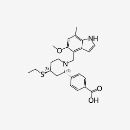 CCS[C@H]1CCN(Cc2c(OC)cc(C)c3[nH]ccc23)[C@H](c2ccc(C(=O)O)cc2)C1